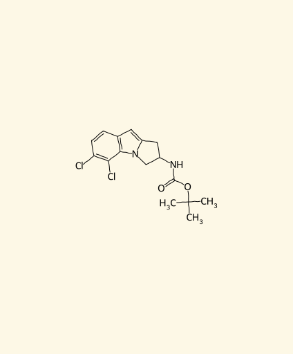 CC(C)(C)OC(=O)NC1Cc2cc3ccc(Cl)c(Cl)c3n2C1